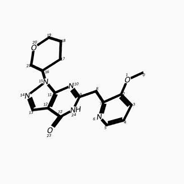 COc1cccnc1Cc1nc2c(cnn2C2CCCOC2)c(=O)[nH]1